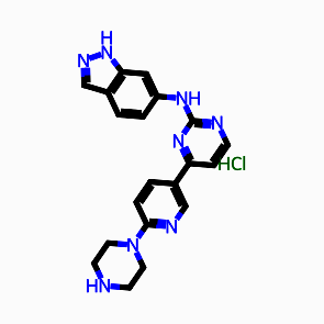 Cl.c1cc(-c2ccc(N3CCNCC3)nc2)nc(Nc2ccc3cn[nH]c3c2)n1